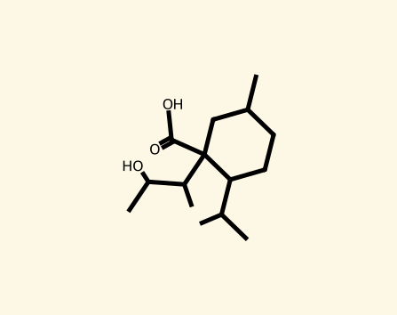 CC1CCC(C(C)C)C(C(=O)O)(C(C)C(C)O)C1